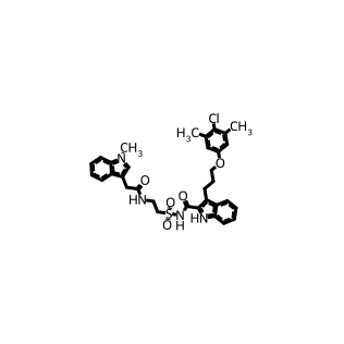 Cc1cc(OCCCc2c(C(=O)NS(=O)(=O)CCNC(=O)Cc3cn(C)c4ccccc34)[nH]c3ccccc23)cc(C)c1Cl